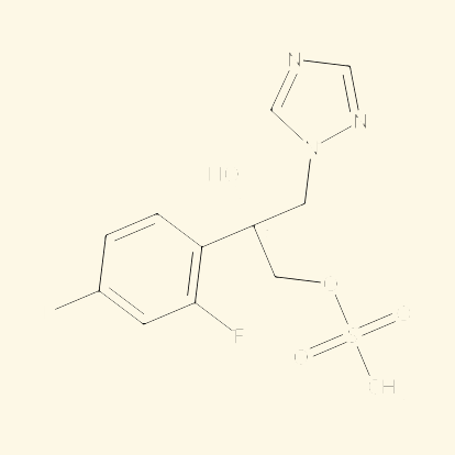 CS(=O)(=O)OC[C@](O)(Cn1cncn1)c1ccc(F)cc1F